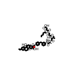 C/C=C1\C=C[C@@]2(C)C(=C1)CC[C@@H]1[C@@H]2[C@@H](O)C[C@@]2(C)[C@H]1C[C@H]1O[C@@H](c3ccc(Cc4cccc(NC(=O)[C@H](C)NC(=O)[C@@H](NC(=O)CCNC(=O)C(CC(=O)O)SC(C)CCCC)C(C)C)c4)cc3)O[C@]12C(=O)CO